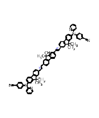 CC1(C)c2cc(/C=C/c3ccc4c(c3)C(C)(C)c3cc(N(c5ccc(C#N)cc5)c5ccccn5)ccc3-4)ccc2-c2ccc(/C=C/c3ccc4c(c3)C(C)(C)c3cc(N(c5ccc(C#N)cc5)c5ccccn5)ccc3-4)cc21